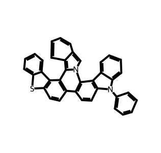 c1ccc(-n2c3ccccc3c3c2ccc2c4ccc5sc6ccccc6c5c4c4c5ccccc5cn4c23)cc1